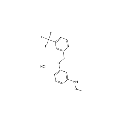 CONc1cccc(OCc2cccc(C(F)(F)F)c2)c1.Cl